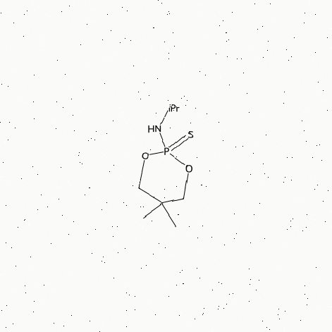 CC(C)NP1(=S)OCC(C)(C)CO1